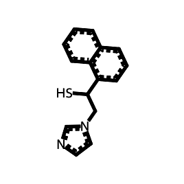 SC(Cn1ccnc1)c1cccc2ccccc12